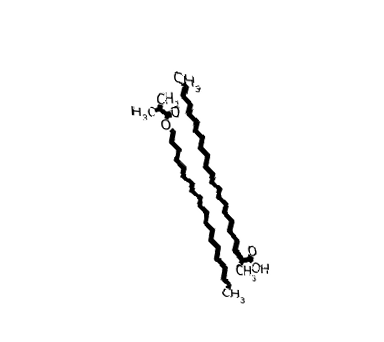 C=C(C)C(=O)OCCCCCCCCCCCCCCCCCCCC.CCCCCCCCCCCCCCCCCCCCC=C(C)C(=O)O